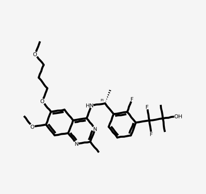 COCCCOc1cc2c(N[C@H](C)c3cccc(C(F)(F)C(C)(C)O)c3F)nc(C)nc2cc1OC